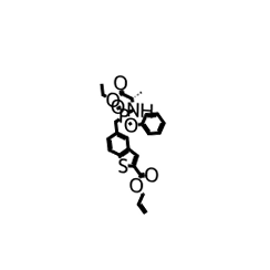 C=CCOC(=O)c1cc2cc(CP(=O)(N[C@@H](C)C(=O)OCC)Oc3ccccc3)ccc2s1